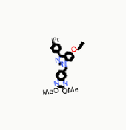 C#CCOc1ccc2c(c1)C(c1ccc(C(C)C)cc1)N=CN2Cc1ccc2nc(OC)c(OC)nc2c1